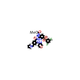 COC(=O)n1nc(NC(=O)c2ccc(CN3CCCC3)cc2NC2CCOCC2)c2cc(S(=O)(=O)c3cc(F)cc(F)c3)ccc21